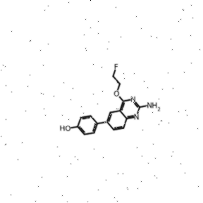 Nc1nc(OCCF)c2cc(-c3ccc(O)cc3)ccc2n1